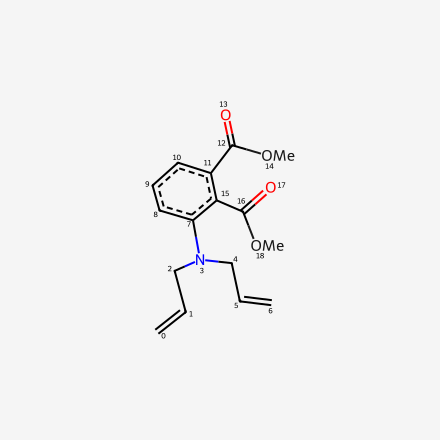 C=CCN(CC=C)c1cccc(C(=O)OC)c1C(=O)OC